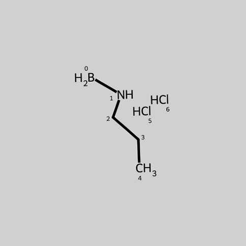 BNCCC.Cl.Cl